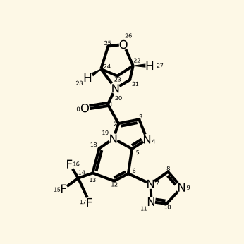 O=C(c1cnc2c(-n3cncn3)cc(C(F)(F)F)cn12)N1C[C@@H]2C[C@H]1CO2